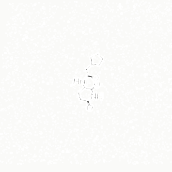 O=C1CCC(NC(=O)CC2CCCC2)C(=O)N1